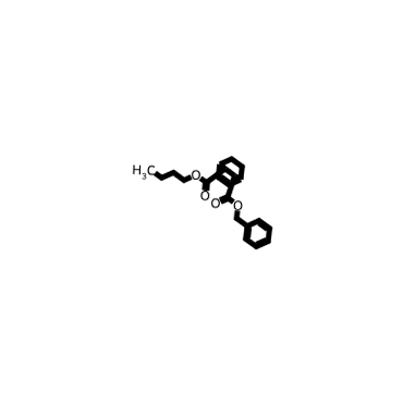 CCCCOC(=O)C1C2C=CC(CC2)C1C(=O)OCc1ccccc1